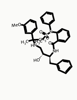 COc1cccc(C(C)(C)NC[C@@H](O)[C@H](Cc2ccccc2)NC(=O)c2ccccc2N(c2ccccc2)S(C)(=O)=O)c1